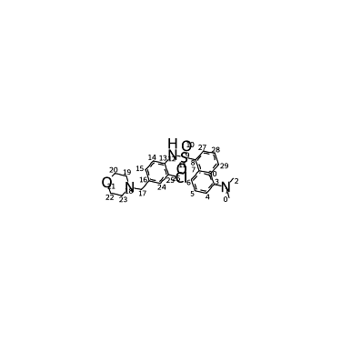 CN(C)c1cccc2c(S(=O)(=O)Nc3ccc(CN4CCOCC4)cc3Cl)cccc12